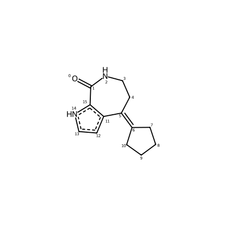 O=C1NCCC(=C2CCCC2)c2cc[nH]c21